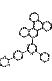 c1ccc(-c2cc(-c3cc4c5ccccc5c5ccccc5c4c4ccccc34)nc(-c3ccc(-c4ncncn4)cc3)n2)cc1